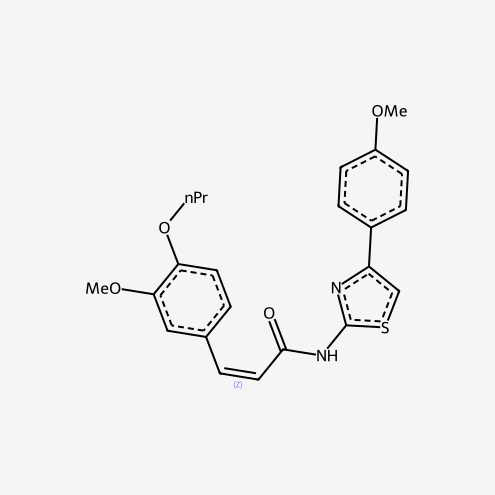 CCCOc1ccc(/C=C\C(=O)Nc2nc(-c3ccc(OC)cc3)cs2)cc1OC